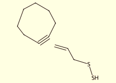 C1#CCCCCCC1.C=CCSS